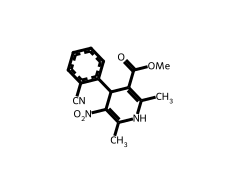 COC(=O)C1=C(C)NC(C)=C([N+](=O)[O-])C1c1ccccc1C#N